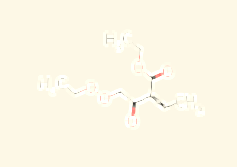 C/C=C(/C(=O)COOCC)C(=O)OCC